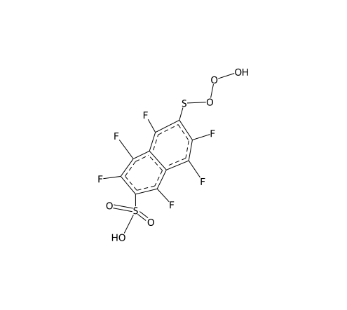 O=S(=O)(O)c1c(F)c(F)c2c(F)c(SOOO)c(F)c(F)c2c1F